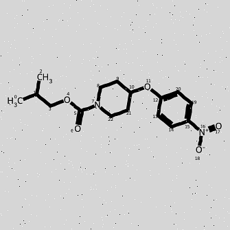 CC(C)COC(=O)N1CCC(Oc2ccc([N+](=O)[O-])cc2)CC1